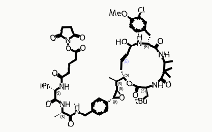 COc1ccc(C[C@H]2NC(O)/C=C/C[C@@H]([C@H](C)[C@H]3O[C@@H]3c3ccc(CNC(=O)[C@H](C)NC(=O)[C@@H](NC(=O)CCCC(=O)ON4C(=O)CCC4=O)C(C)C)cc3)OC(=O)[C@H](CC(C)(C)C)NC(=O)C(C)(C)C(C)NC2=O)cc1Cl